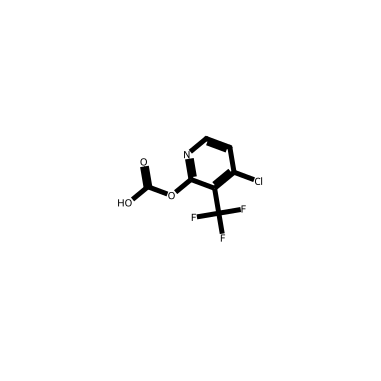 O=C(O)Oc1nccc(Cl)c1C(F)(F)F